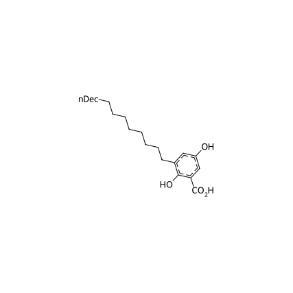 CCCCCCCCCCCCCCCCCCc1cc(O)cc(C(=O)O)c1O